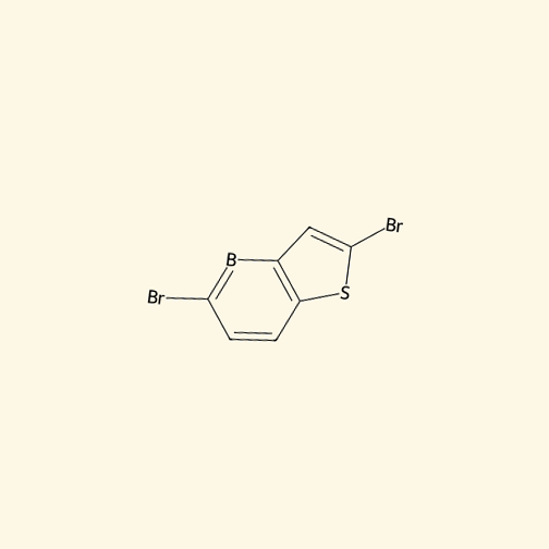 Brc1bc2cc(Br)sc2cc1